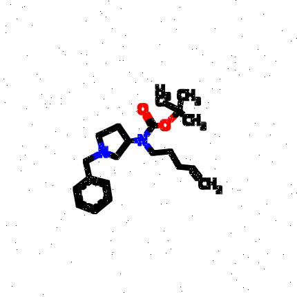 C=CCCCN(C(=O)OC(C)(C)C)[C@@H]1CCN(Cc2ccccc2)C1